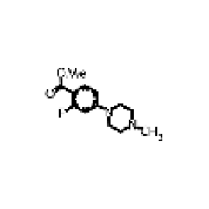 COC(=O)c1ccc(N2CCN(C)CC2)cc1F